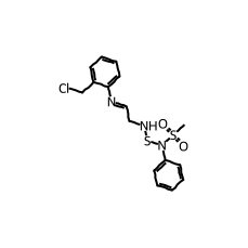 CS(=O)(=O)N(SNCC=Nc1ccccc1CCl)c1ccccc1